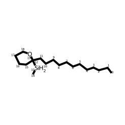 CCCCCCCCCCCCC1([SiH2]C)CCCCO1